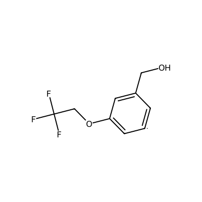 OCc1c[c]cc(OCC(F)(F)F)c1